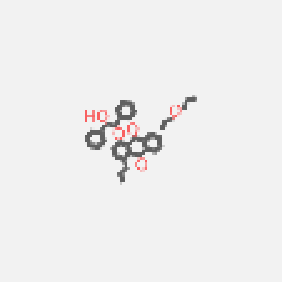 C=CCOCC=C.C=CCc1cccc2c1C(=O)c1ccccc1C2=O.O=C(c1ccccc1)C(O)c1ccccc1